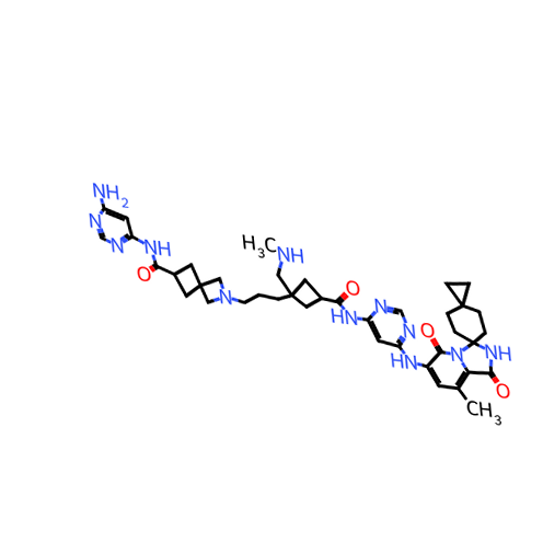 CNCC1(CCCN2CC3(CC(C(=O)Nc4cc(N)ncn4)C3)C2)CC(C(=O)Nc2cc(Nc3cc(C)c4n(c3=O)C3(CCC5(CC5)CC3)NC4=O)ncn2)C1